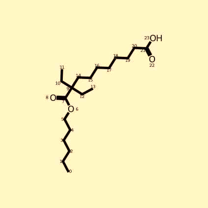 CCCCCCOC(=O)C(CC)(CC)CCCCCCCC(=O)O